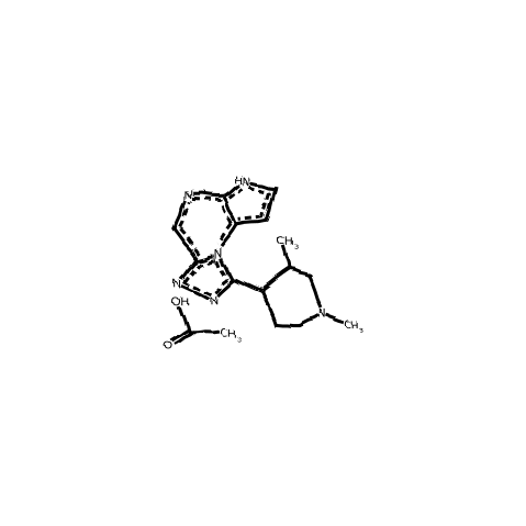 CC(=O)O.CC1CN(C)CCC1c1nnc2cnc3[nH]ccc3n12